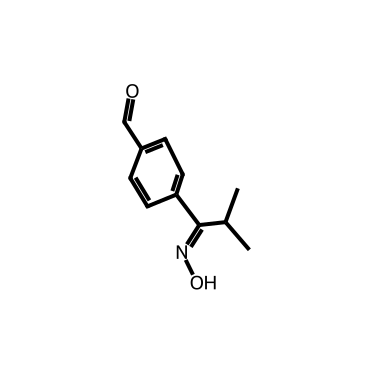 CC(C)/C(=N\O)c1ccc(C=O)cc1